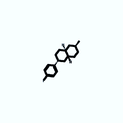 C[C@H]1CC[C@@H]2C[C@H](c3ccc(I)cc3)CC[C@H]2C1